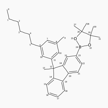 CCCCCCc1cc(C)cc(C2(C)c3ccccc3-c3ccc(B4OC(C)(C)C(C)(C)O4)cc32)c1